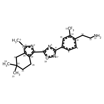 Cn1nc(-c2nc(-c3ccc(CCN)c(C(F)(F)F)c3)no2)c2c1CC(C)(C)CC2